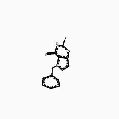 Fc1nc2ccn(Cc3ccccc3)c2c(=S)[nH]1